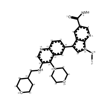 CNC(=O)c1cnc2c(c1)c(-c1ccc3ncc(NCC4CCOCC4)c(N4CCOCC4)c3c1)cn2SI